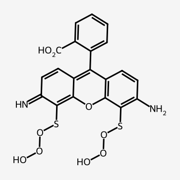 N=c1ccc2c(-c3ccccc3C(=O)O)c3ccc(N)c(SOOO)c3oc-2c1SOOO